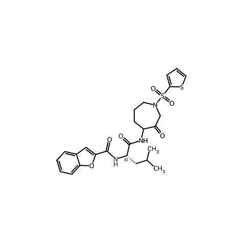 CC(C)C[C@H](NC(=O)c1cc2ccccc2o1)C(=O)NC1CCCN(S(=O)(=O)c2cccs2)CC1=O